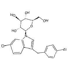 CCc1ccc(Cc2cn([C@@H]3O[C@H](CO)[C@@H](O)[C@H](O)[C@H]3O)c3cc(Cl)ccc23)cc1